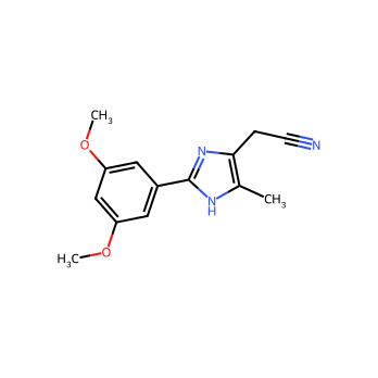 COc1cc(OC)cc(-c2nc(CC#N)c(C)[nH]2)c1